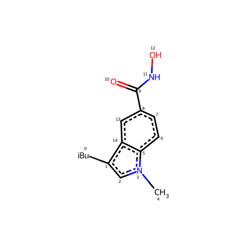 CCC(C)c1cn(C)c2ccc(C(=O)NO)cc12